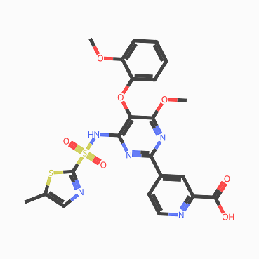 COc1ccccc1Oc1c(NS(=O)(=O)c2ncc(C)s2)nc(-c2ccnc(C(=O)O)c2)nc1OC